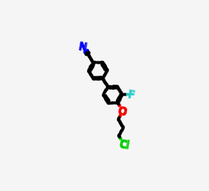 N#Cc1ccc(-c2ccc(OCCCCl)c(F)c2)cc1